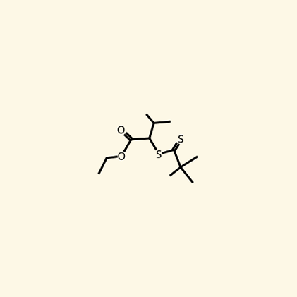 CCOC(=O)C(SC(=S)C(C)(C)C)C(C)C